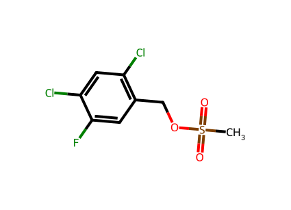 CS(=O)(=O)OCc1cc(F)c(Cl)cc1Cl